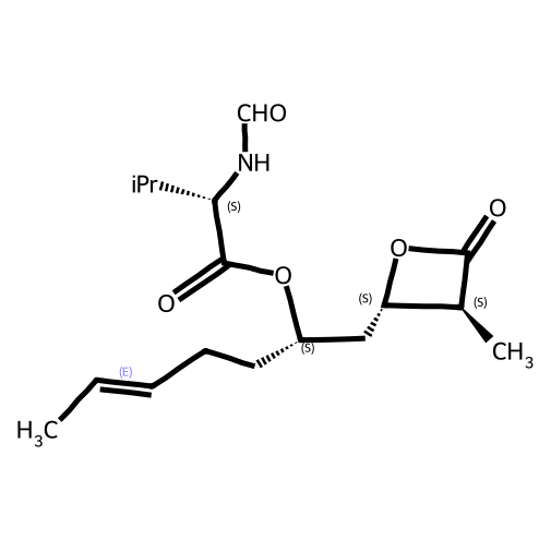 C/C=C/CC[C@@H](C[C@@H]1OC(=O)[C@H]1C)OC(=O)[C@@H](NC=O)C(C)C